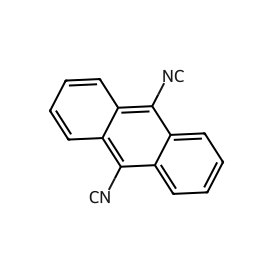 [C-]#[N+]c1c2ccccc2c([N+]#[C-])c2ccccc12